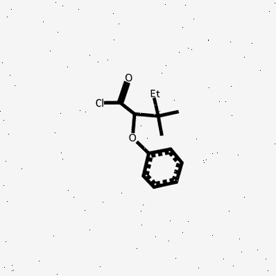 CCC(C)(C)C(Oc1ccccc1)C(=O)Cl